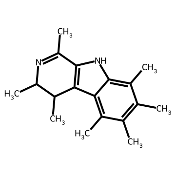 CC1=NC(C)C(C)c2c1[nH]c1c(C)c(C)c(C)c(C)c21